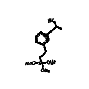 CO[Si](CCc1cccc(C(C)Br)c1)(OC)OC